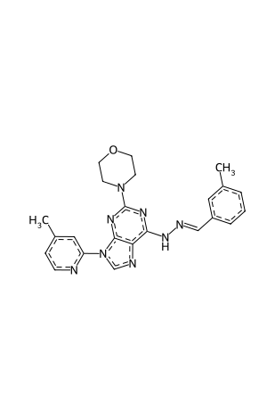 Cc1cccc(/C=N/Nc2nc(N3CCOCC3)nc3c2ncn3-c2cc(C)ccn2)c1